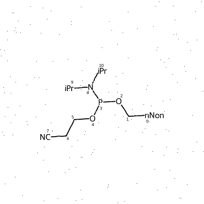 CCCCCCCCCCOP(OCCC#N)N(C(C)C)C(C)C